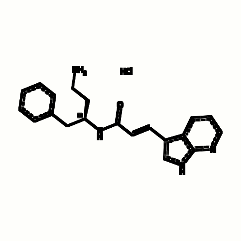 Cl.NCC[C@H](Cc1ccccc1)NC(=O)C=Cc1c[nH]c2ncccc12